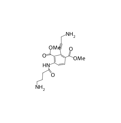 COC(=O)c1ccc(NC(=O)CCCN)c(C(=O)OC)c1C#CCN